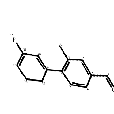 Cc1cc(C=O)ccc1C1=CC(F)=CCC1